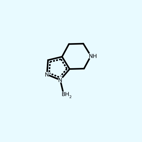 Bn1ncc2c1CNCC2